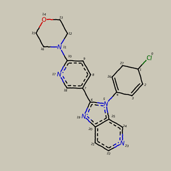 ClC1C=CC(n2c(-c3ccc(N4CCOCC4)nc3)nc3ccncc32)=CC1